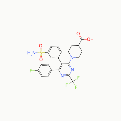 NS(=O)(=O)c1cccc(-c2c(-c3ccc(F)cc3)nc(C(F)(F)F)nc2N2CCC(C(=O)O)CC2)c1